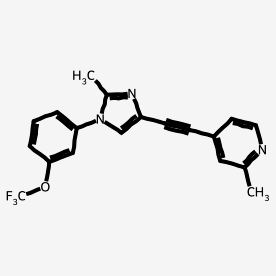 Cc1cc(C#Cc2cn(-c3cccc(OC(F)(F)F)c3)c(C)n2)ccn1